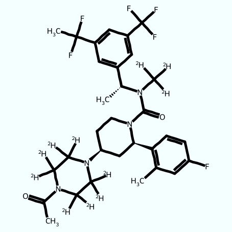 [2H]C([2H])([2H])N(C(=O)N1CC[C@H](N2C([2H])([2H])C([2H])([2H])N(C(C)=O)C([2H])([2H])C2([2H])[2H])C[C@@H]1c1ccc(F)cc1C)[C@H](C)c1cc(C(C)(F)F)cc(C(F)(F)F)c1